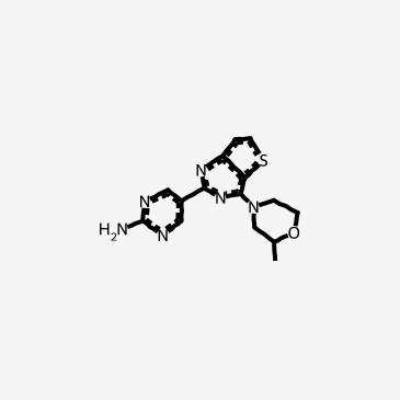 CC1CN(c2nc(-c3cnc(N)nc3)nc3ccsc23)CCO1